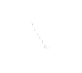 [NH]CCCOCCOCCCN